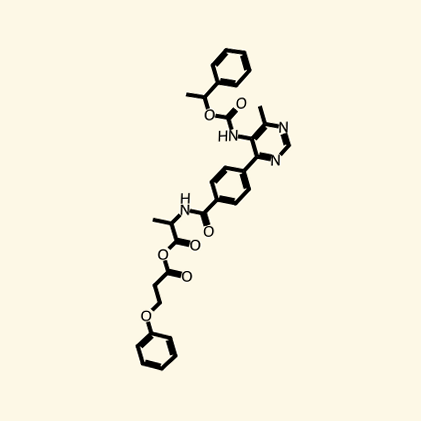 Cc1ncnc(-c2ccc(C(=O)NC(C)C(=O)OC(=O)CCOc3ccccc3)cc2)c1NC(=O)OC(C)c1ccccc1